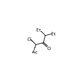 CCC(CC)C(=O)C(Cl)C(C)=O